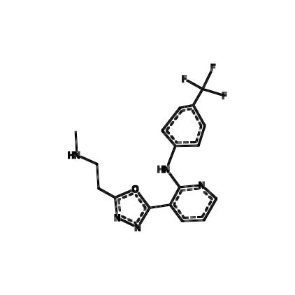 CNCCc1nnc(-c2cccnc2Nc2ccc(C(F)(F)F)cc2)o1